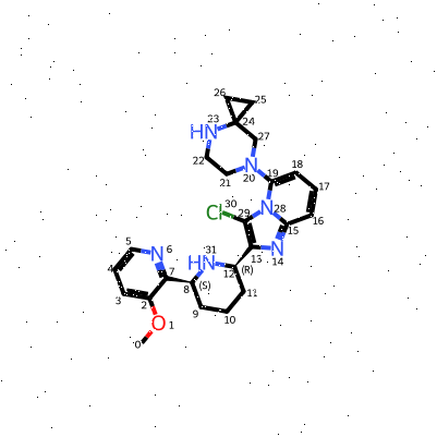 COc1cccnc1[C@@H]1CCC[C@H](c2nc3cccc(N4CCNC5(CC5)C4)n3c2Cl)N1